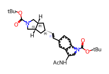 CC(=O)Nc1cn(C(=O)OC(C)(C)C)c2ccc(/C=C/[C@@H]3C[C@@H]4CN(C(=O)OC(C)(C)C)C[C@@H]4C3)cc12